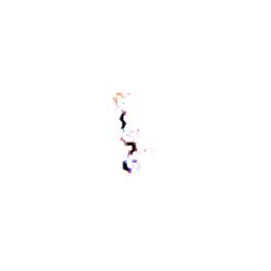 O=C(CCCNC(=O)[C@H]1O[C@@H](n2ccc(=O)[nH]c2=O)[C@@H](O)[C@H]1O)NCP(=O)(O)O